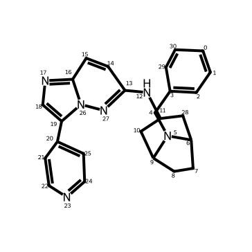 c1ccc(CN2C3CCC2CC(Nc2ccc4ncc(-c5ccncc5)n4n2)C3)cc1